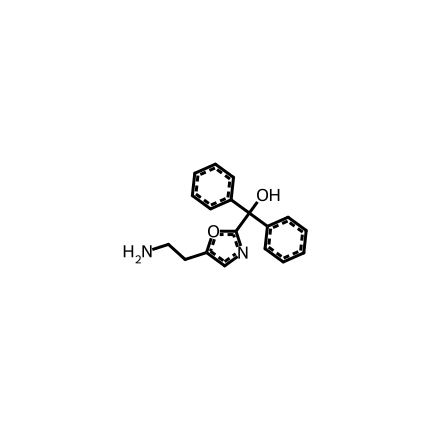 NCCc1cnc(C(O)(c2ccccc2)c2ccccc2)o1